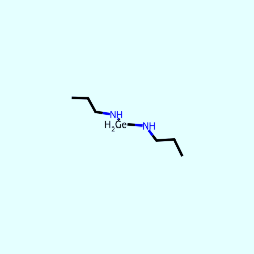 CCC[NH][GeH2][NH]CCC